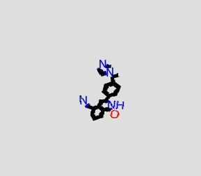 CC(c1ccc(-c2cc3c(C#N)cccc3c(=O)[nH]2)cc1)n1ccnc1